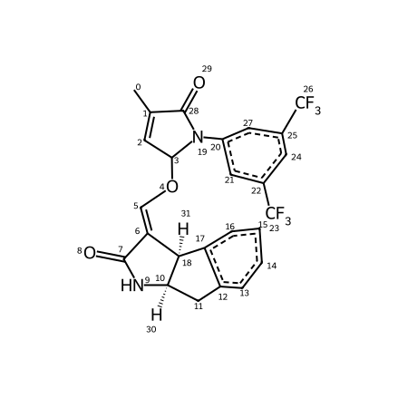 CC1=CC(O/C=C2/C(=O)N[C@@H]3Cc4ccccc4[C@H]23)N(c2cc(C(F)(F)F)cc(C(F)(F)F)c2)C1=O